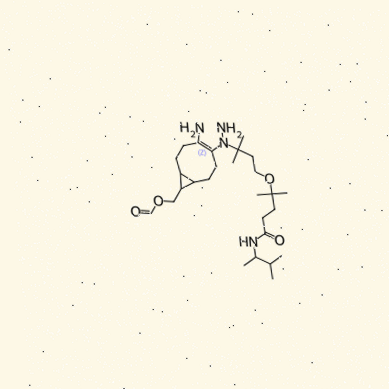 CC(C)C(C)NC(=O)CCC(C)(C)OCCC(C)(C)N(N)/C1=C(\N)CCC2C(CC1)C2COC=O